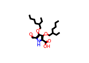 CCCCC(CC)COc1c(C=O)[nH]c(C(=O)O)c1OCC(CC)CCCC